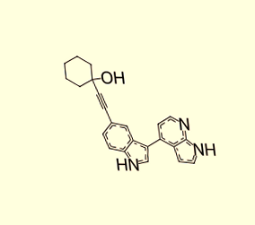 OC1(C#Cc2ccc3[nH]cc(-c4ccnc5[nH]ccc45)c3c2)CCCCC1